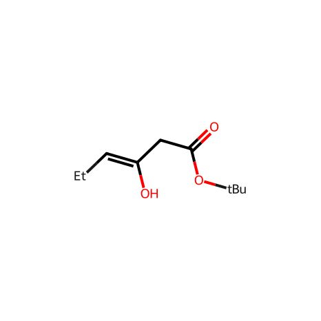 CCC=C(O)CC(=O)OC(C)(C)C